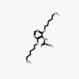 CCCCCCOc1ncnc(OCCCCCC)c1NC(N)=S